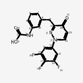 O=C(O)Nc1cccc(Cc2nn(-c3cc(F)c(F)c(F)c3)ccc2=O)c1